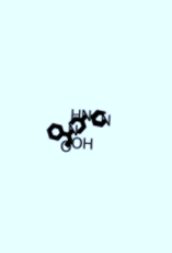 O=C(O)C(C1CCCCC1)N1CCC(Nc2ccncc2)CC1